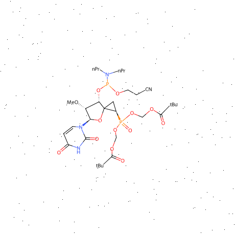 CCCN(CCC)P(OCCC#N)O[C@H]1[C@@H](OC)[C@H](n2ccc(=O)[nH]c2=O)OC12C[C@H]2P(=O)(OCOC(=O)C(C)(C)C)OCOC(=O)C(C)(C)C